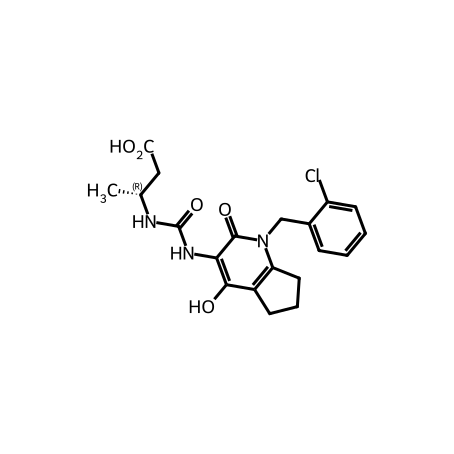 C[C@H](CC(=O)O)NC(=O)Nc1c(O)c2c(n(Cc3ccccc3Cl)c1=O)CCC2